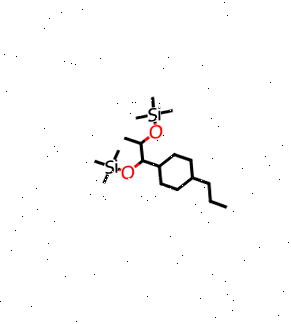 CCCC1CCC(C(O[Si](C)(C)C)C(C)O[Si](C)(C)C)CC1